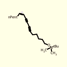 CCCCC/C=C\C#CC#CCCCCCO[Si](C)(C)C(C)(C)C